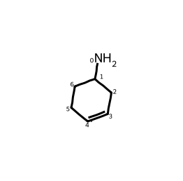 NC1CC=[C]CC1